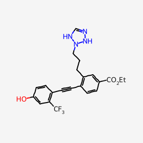 CCOC(=O)c1ccc(C#Cc2ccc(O)cc2C(F)(F)F)c(CCCN2NC=NN2)c1